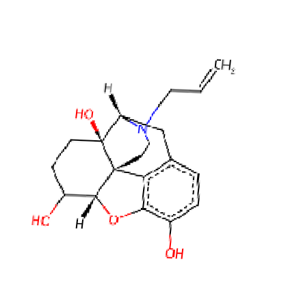 C=CCN1CC[C@@]23c4c5ccc(O)c4O[C@@H]2C(O)CC[C@]3(O)[C@@H]1C5